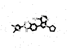 Cc1nc([S+]([O-])Nc2ccc(-c3cn(C4CCCC4)c4ncnc(N)c34)cc2F)cn1C